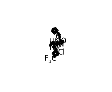 NC(=O)[C@@H](COCc1ccccc1)NC(=O)c1cccnc1Oc1ccc(C(F)(F)F)cc1Cl